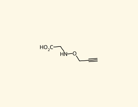 C#CCONCC(=O)O